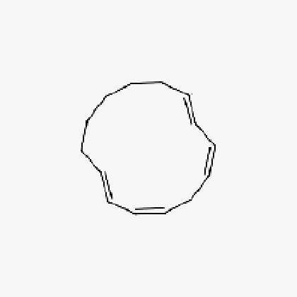 [C]1=C/C=C\C/C=C\C=C\CCCCC/1